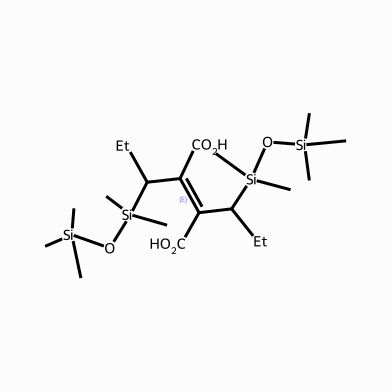 CCC(/C(C(=O)O)=C(\C(=O)O)C(CC)[Si](C)(C)O[Si](C)(C)C)[Si](C)(C)O[Si](C)(C)C